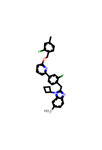 Cc1ccc(COc2cccc(-c3ccc(Cc4nc5ccc(C(=O)O)cc5n4C4CCC4)c(F)c3)n2)c(F)c1